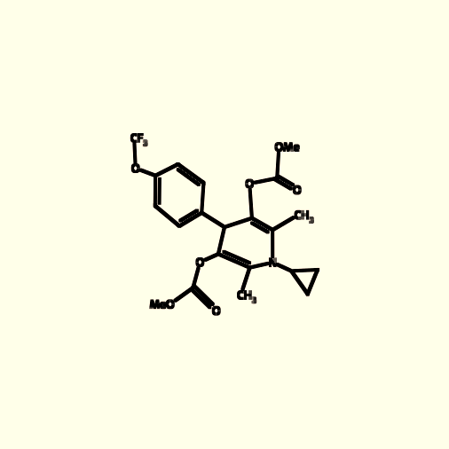 COC(=O)OC1=C(C)N(C2CC2)C(C)=C(OC(=O)OC)C1c1ccc(OC(F)(F)F)cc1